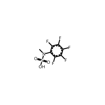 CN(c1c(F)c(F)c(F)c(F)c1F)S(=O)(=O)O